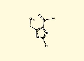 CCc1cc(Br)oc1C(=O)O